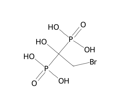 O=P(O)(O)C(O)(CBr)P(=O)(O)O